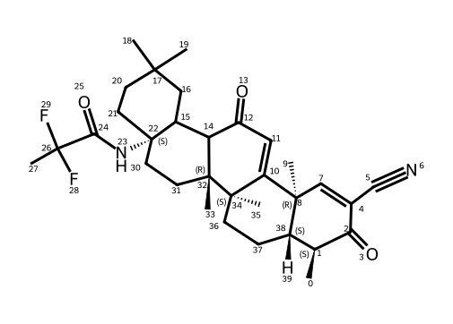 C[C@@H]1C(=O)C(C#N)=C[C@]2(C)C3=CC(=O)C4C5CC(C)(C)CC[C@]5(NC(=O)C(C)(F)F)CC[C@@]4(C)[C@]3(C)CC[C@@H]12